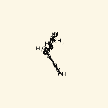 C[C@@H](NC(=O)c1cccc(NCc2nnc(C3CC=NC=N3)n2C)c1)c1cccc(COCCCCCCOCCCOCCO)c1